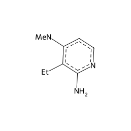 CCc1c(NC)ccnc1N